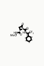 CONC(=O)[C@@H]1CC(=O)N1C(=O)NC(C1CCCCC1)C(F)(F)F